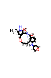 CCN(c1cccc2c1CC=CCOCc1cc(C)[nH]c(=O)c1CNC2=O)C1CCOCC1